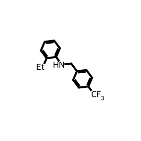 CCc1ccccc1NCc1ccc(C(F)(F)F)cc1